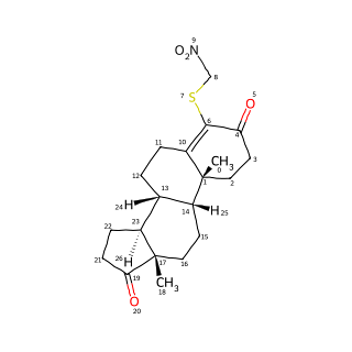 C[C@]12CCC(=O)C(SC[N+](=O)[O-])=C1CC[C@@H]1[C@H]2CC[C@]2(C)C(=O)CC[C@@H]12